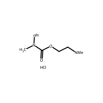 CCCN(C)C(=O)OCCNC.Cl